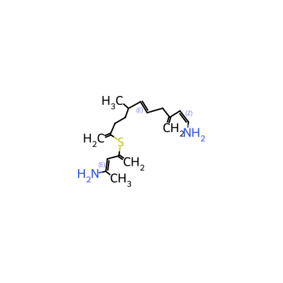 C=C(/C=C\N)C/C=C/C(C)CCC(=C)SC(=C)/C=C(\C)N